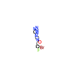 O=C(Cc1ccc(F)c(Br)c1)N1CCN(c2ccc3nncn3n2)CC1